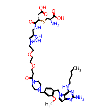 CCCCCNc1nc(N)nc2ccn(Cc3ccc(CN4CCN(C(=O)CCOCCOCCN5C=C(CNC(=O)[C@H](CC(=O)O)SC[C@H](N)C(=O)O)NN5)CC4)cc3OC)c12